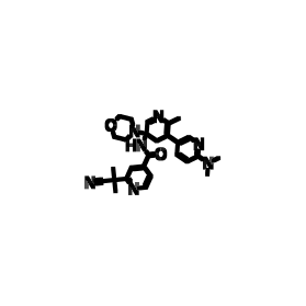 CC1=C(c2ccc(N(C)C)nc2)CC(NC(=O)c2ccnc(C(C)(C)C#N)c2)(N2CCOCC2)C=N1